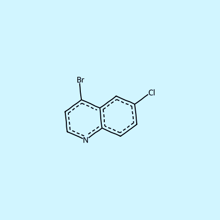 Clc1ccc2nccc(Br)c2c1